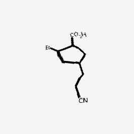 CCC1CC(CCC#N)CC1C(=O)O